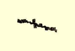 C=CCOCCOCCNC(=O)CCCCNC(C)=O